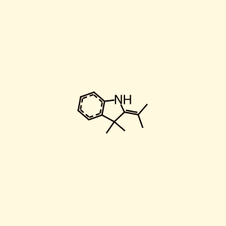 CC(C)=C1Nc2ccccc2C1(C)C